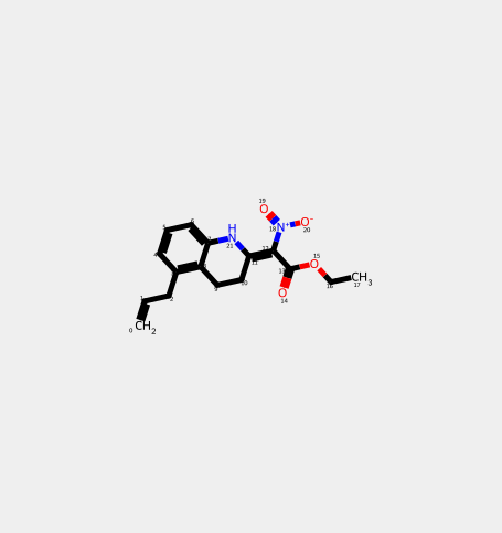 C=CCc1cccc2c1CCC(=C(C(=O)OCC)[N+](=O)[O-])N2